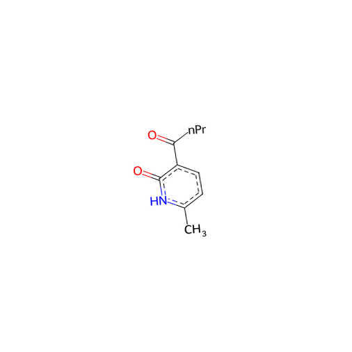 CCCC(=O)c1ccc(C)[nH]c1=O